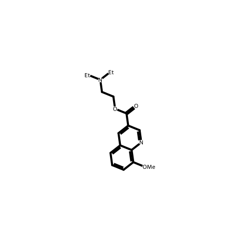 CCN(CC)CCOC(=O)c1cnc2c(OC)cccc2c1